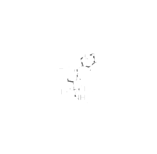 C[C@@H](NC(=O)C(C)(C)N)c1ccccc1